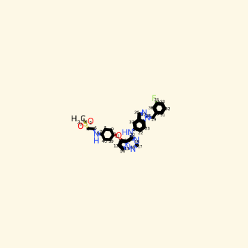 CS(=O)(=O)CCNC1CCC(Oc2ccn3ncnc(Nc4ccc5c(cnn5Cc5cccc(F)c5)c4)c23)CC1